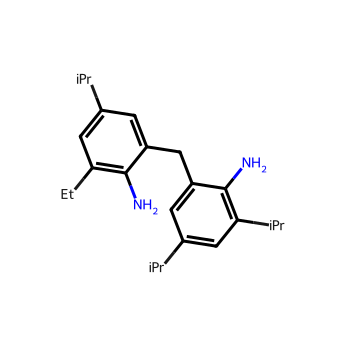 CCc1cc(C(C)C)cc(Cc2cc(C(C)C)cc(C(C)C)c2N)c1N